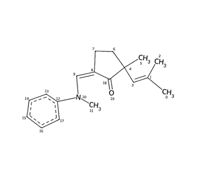 CC(C)=CC1(C)CCC(=CN(C)c2ccccc2)C1=O